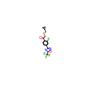 O=C(CSCC1CC1)c1ccc(-c2noc(C(F)(F)F)n2)cc1F